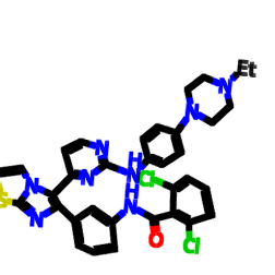 CCN1CCN(c2ccc(Nc3nccc(-c4c(-c5cccc(NC(=O)c6c(Cl)cccc6Cl)c5)nc5sccn45)n3)cc2)CC1